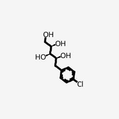 OC[C@@H](O)[C@H](O)[C@@H](O)Cc1ccc(Cl)cc1